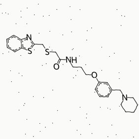 O=C(CSCc1nc2ccccc2s1)NCCCOc1cccc(CN2CCCCC2)c1